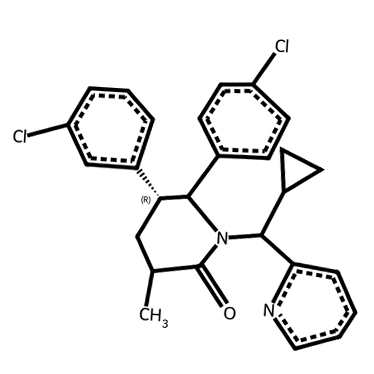 CC1C[C@H](c2cccc(Cl)c2)C(c2ccc(Cl)cc2)N(C(c2ccccn2)C2CC2)C1=O